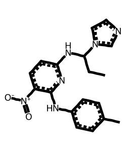 CCC(Nc1ccc([N+](=O)[O-])c(Nc2ccc(C)cc2)n1)n1ccnc1